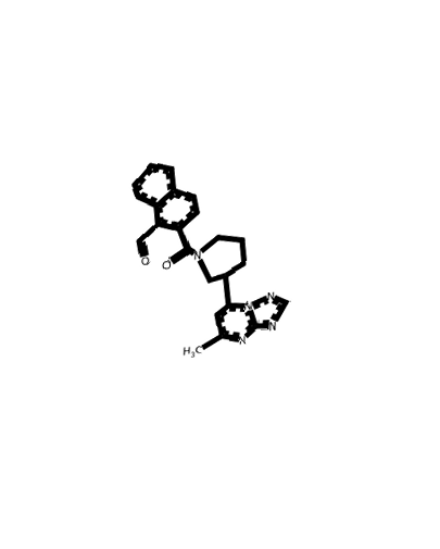 Cc1cc(C2CCCN(C(=O)c3ccc4ccccc4c3C=O)C2)n2ncnc2n1